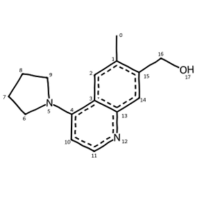 Cc1cc2c(N3CCCC3)ccnc2cc1CO